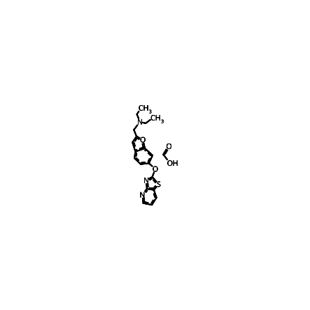 CCN(CC)Cc1cc2ccc(Oc3nc4ncccc4s3)cc2o1.O=CO